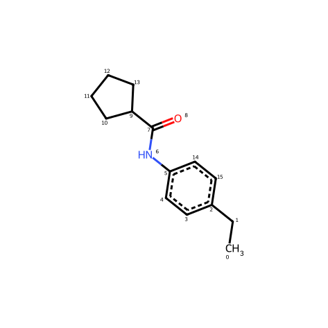 CCc1ccc(NC(=O)C2CCCC2)cc1